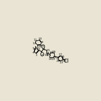 O=C1c2cccn2C2=C(C=CCC2)OC1CCN1CCC(c2ccc(Cl)cc2)CC1